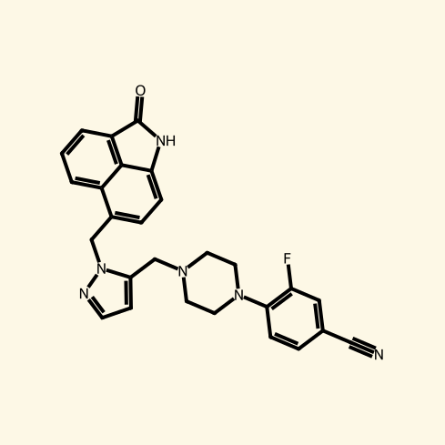 N#Cc1ccc(N2CCN(Cc3ccnn3Cc3ccc4c5c(cccc35)C(=O)N4)CC2)c(F)c1